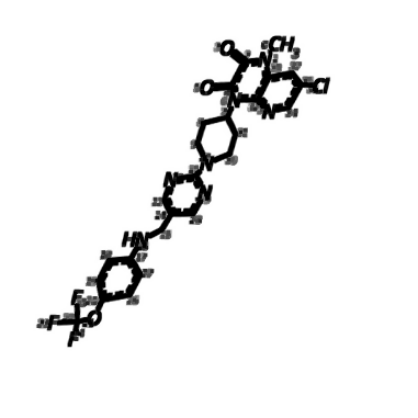 Cn1c(=O)c(=O)n(C2CCN(c3ncc(CNc4ccc(OC(F)(F)F)cc4)cn3)CC2)c2ncc(Cl)cc21